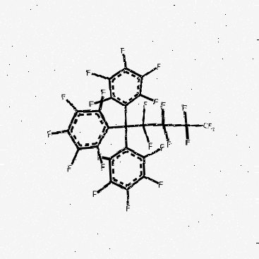 Fc1c(F)c(F)c(C(c2c(F)c(F)c(F)c(F)c2F)(c2c(F)c(F)c(F)c(F)c2F)C(F)(F)C(F)(F)C(F)(F)C(F)(F)F)c(F)c1F